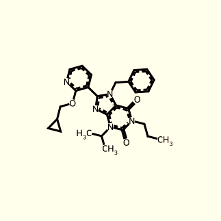 CCCn1c(=O)c2c(nc(-c3cccnc3OCC3CC3)n2Cc2ccccc2)n(C(C)C)c1=O